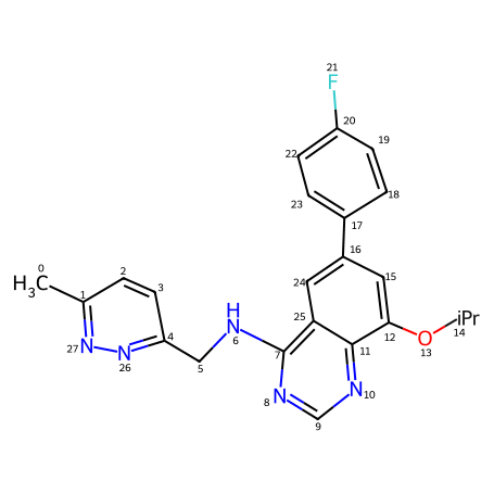 Cc1ccc(CNc2ncnc3c(OC(C)C)cc(-c4ccc(F)cc4)cc23)nn1